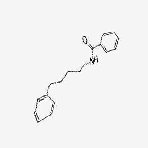 O=C(NCCCCCc1ccccc1)c1ccccc1